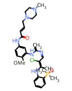 C=C(/N=C\C(Cl)=C(/C)Nc1ccccc1P(C)(C)=O)Nc1cc(NC(=O)/C=C/CN2CCN(C)CC2)ccc1OC